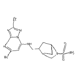 CCc1nc2nc(C(C)C)cc(NCC3CC4CC3CN4S(N)(=O)=O)n2n1